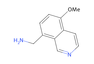 COc1ccc(CN)c2cnccc12